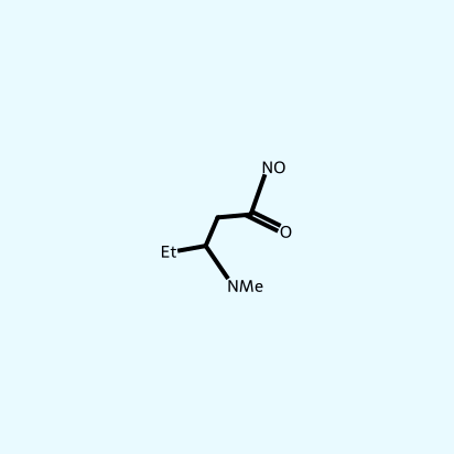 CCC(CC(=O)N=O)NC